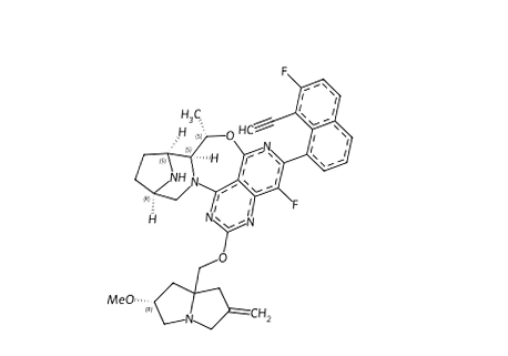 C#Cc1c(F)ccc2cccc(-c3nc4c5c(nc(OCC67CC(=C)CN6C[C@H](OC)C7)nc5c3F)N3C[C@H]5CC[C@H](N5)[C@H]3[C@H](C)O4)c12